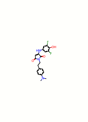 CN(C)c1ccc(CCN2C(=O)C=C(Nc3cc(F)c(O)c(F)c3)C2=O)cc1